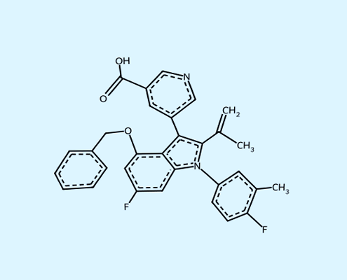 C=C(C)c1c(-c2cncc(C(=O)O)c2)c2c(OCc3ccccc3)cc(F)cc2n1-c1ccc(F)c(C)c1